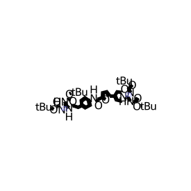 CC(C)(C)OC(=O)/N=C(/NCCc1ccc(NC(=O)c2ccc(C3=CCN(/C(=N\C(=O)OC(C)(C)C)NC(=O)OC(C)(C)C)CC3)o2)cc1)NC(=O)OC(C)(C)C